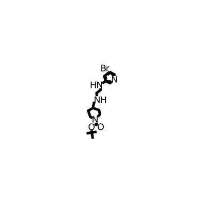 CC(C)(C)OC(=O)N1CCC(CNCCNc2cncc(Br)c2)CC1